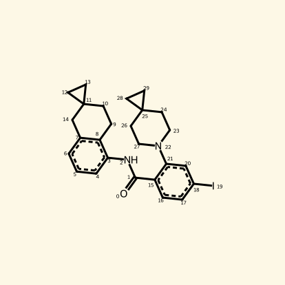 O=C(Nc1cccc2c1CCC1(CC1)C2)c1ccc(I)cc1N1CCC2(CC1)CC2